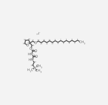 CCCCCCCCCCCCCCCCOCC1(COC(=O)NC(=O)NCC[N+](C)(C)C)CCCO1.[I-]